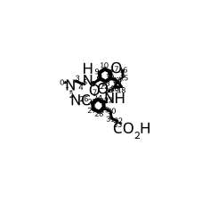 CN(C)CCNC(=O)c1ccc2c(c1)[C@]1(CCO2)C[C@H]1C(=O)Nc1cc(C#N)ccc1CCCC(=O)O